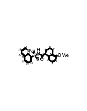 COc1cccc2c1CCCC2C(=O)NS(=O)(=O)c1cccc2cccnc12